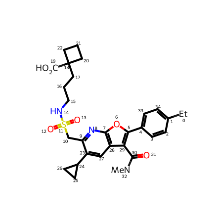 CCc1ccc(-c2oc3nc(CS(=O)(=O)NCCCC4(C(=O)O)CCC4)c(C4CC4)cc3c2C(=O)NC)cc1